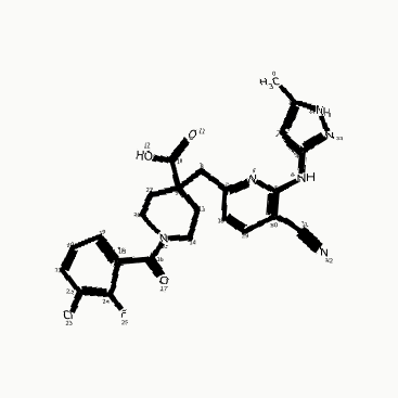 Cc1cc(Nc2nc(CC3(C(=O)O)CCN(C(=O)c4cccc(Cl)c4F)CC3)ccc2C#N)n[nH]1